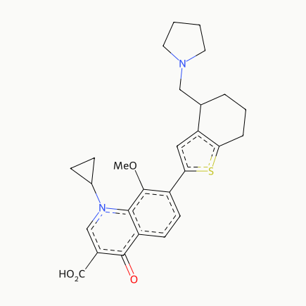 COc1c(-c2cc3c(s2)CCCC3CN2CCCC2)ccc2c(=O)c(C(=O)O)cn(C3CC3)c12